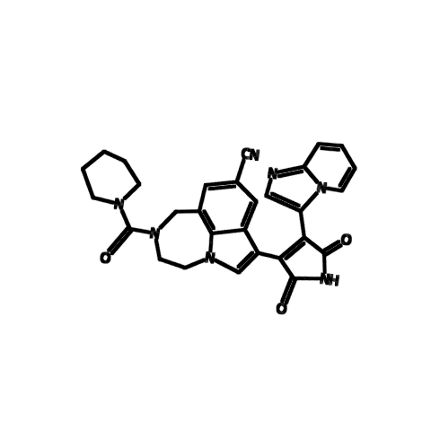 N#Cc1cc2c3c(c1)c(C1=C(c4cnc5ccccn45)C(=O)NC1=O)cn3CCN(C(=O)N1CCCCC1)C2